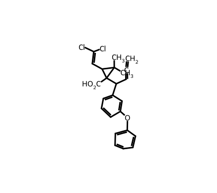 C=C=CC(c1cccc(Oc2ccccc2)c1)C1(C(=O)O)C(C=C(Cl)Cl)C1(C)C